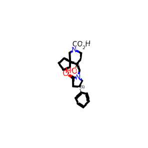 O=C(O)N1CC[C@@](O)(CN2C[C@H](c3ccccc3)CC2=O)C2(CCCC2)C1